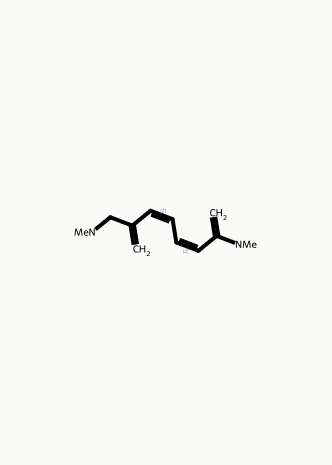 C=C(/C=C\C=C/C(=C)NC)CNC